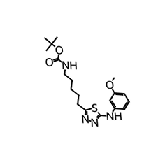 COc1cccc(Nc2nnc(CCCCCNC(=O)OC(C)(C)C)s2)c1